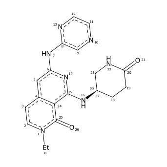 CCn1ccc2cc(Nc3cnccn3)nc(N[C@@H]3CCC(=O)NC3)c2c1=O